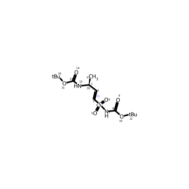 C[C@@H](/C=C/S(=O)(=O)NC(=O)OC(C)(C)C)NC(=O)OC(C)(C)C